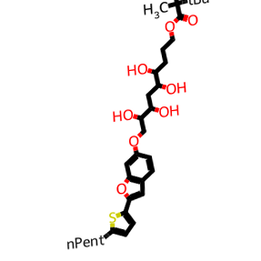 CCCCCc1ccc(-c2cc3ccc(OCC(O)C(O)CC(O)C(O)CCCOC(=O)C(C)(CC(C)(C)C)C(C)(C)C)cc3o2)s1